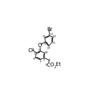 CCOC(=O)Cc1ccc(Cl)c(Oc2cccc(Br)c2)c1